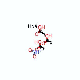 CC(=O)O.CC(=O)O.CC(=O)O.O=[NH+][O-].[NaH]